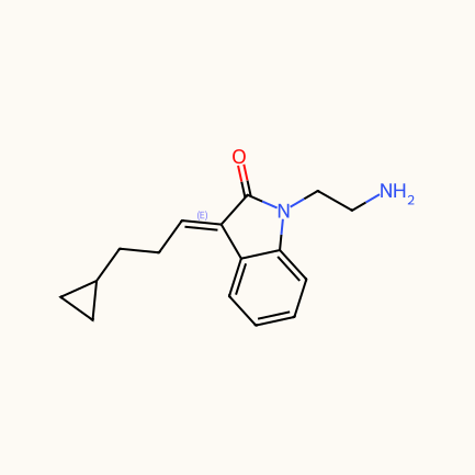 NCCN1C(=O)/C(=C/CCC2CC2)c2ccccc21